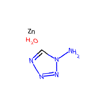 Nn1cnnn1.O.[Zn]